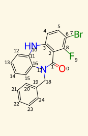 O=C1c2c(ccc(Br)c2F)Nc2ccccc2N1Cc1ccccc1